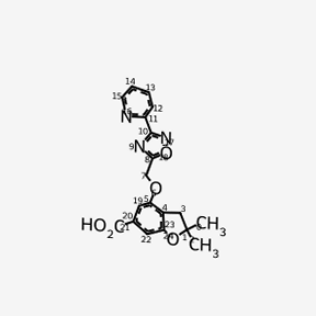 CC1(C)Cc2c(OCc3nc(-c4ccccn4)no3)cc(C(=O)O)cc2O1